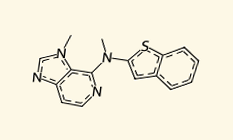 CN(c1cc2ccccc2s1)c1nccc2ncn(C)c12